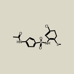 CSC1=C(NS(=O)(=O)c2ccc(NC(C)=O)cc2)C=C(Cl)CC1